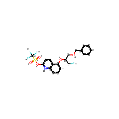 O=S(=O)(Oc1ccc2c(OC(CF)COCc3ccccc3)cccc2n1)C(F)(F)F